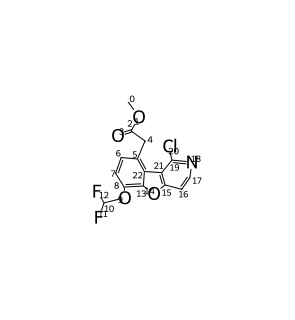 COC(=O)Cc1ccc(OC(F)F)c2oc3ccnc(Cl)c3c12